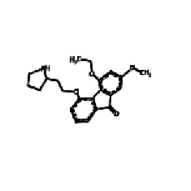 CCOc1cc(OC)cc2c1-c1c(OCCC3CCCN3)cccc1C2=O